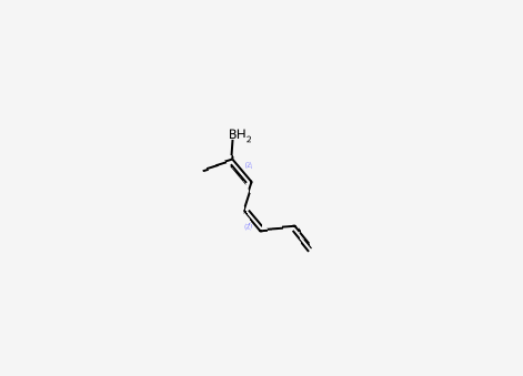 B/C(C)=C/C=C\C=C